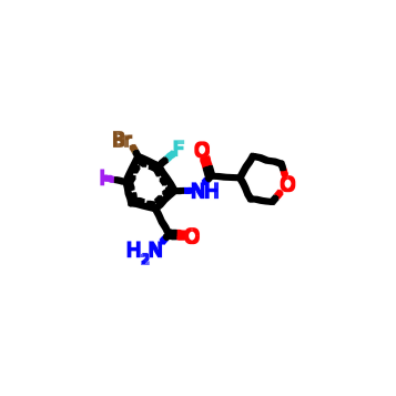 NC(=O)c1cc(I)c(Br)c(F)c1NC(=O)C1CCOCC1